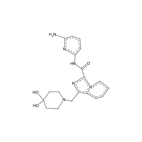 Nc1cccc(NC(=O)c2nc(CN3CCS(O)(O)CC3)c3ccccn23)n1